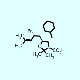 CC(C)=C[C@@H](C[C@@H]1OC(C)(C)N(C(=O)O)[C@H]1CC1CCCCC1)C(C)C